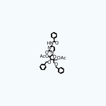 CC(=O)OC[C@]1(COCc2ccccc2)O[C@@H](n2ccc(NC(=O)c3ccccc3)nc2=O)[C@H](OC(C)=O)[C@@H]1OCc1ccccc1